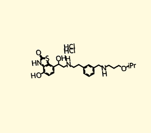 CC(C)OCCCNCc1cccc(CCNC[C@H](O)c2ccc(O)c3[nH]c(=O)sc23)c1.Cl.Cl